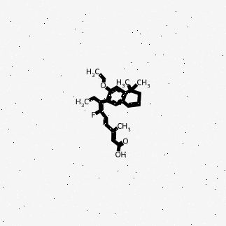 CCOc1cc2c(cc1\C(CC)=C(F)/C=C/C(C)=C/C(=O)O)C=CCC2(C)C